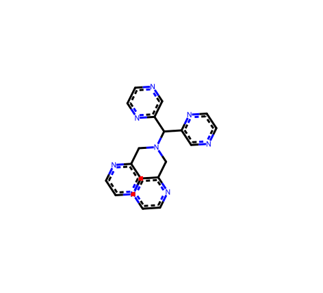 c1cnc(CN(Cc2cnccn2)C(c2cnccn2)c2cnccn2)cn1